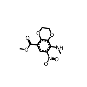 CNc1c([N+](=O)[O-])cc(C(=O)OC)c2c1OCCO2